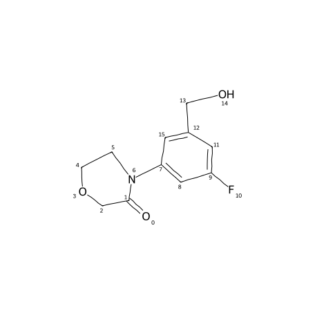 O=C1COCCN1c1cc(F)cc(CO)c1